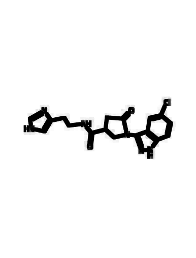 O=C(NCCc1c[nH]cn1)C1CC(=O)N(c2n[nH]c3ccc(Cl)cc23)C1